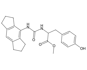 COC(=O)C(Cc1ccc(O)cc1)NC(=O)Nc1c2c(cc3c1CCC3)CCC2